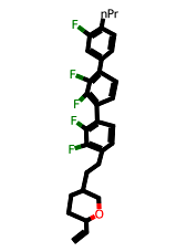 C=CC1CCC(CCc2ccc(-c3ccc(-c4ccc(CCC)c(F)c4)c(F)c3F)c(F)c2F)CO1